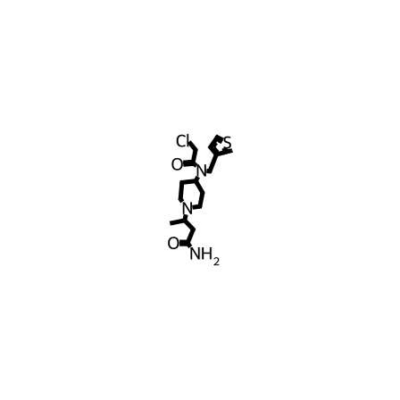 CC(CC(N)=O)N1CCC(N(Cc2ccsc2)C(=O)CCl)CC1